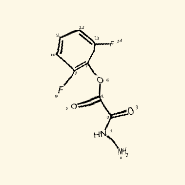 NNC(=O)C(=O)Oc1c(F)cccc1F